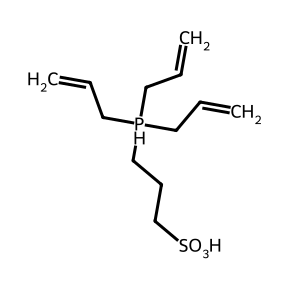 C=CC[PH](CC=C)(CC=C)CCCS(=O)(=O)O